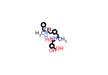 C[C@H](Cc1cccc(CC(=O)NC(C)(C)Cc2ccccc2)c1)NC[C@@H](O)c1ccc(O)c(CO)c1